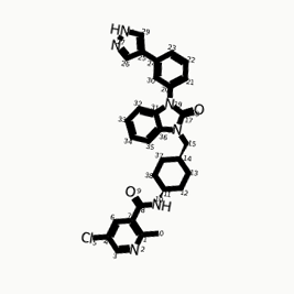 Cc1ncc(Cl)cc1C(=O)N[C@H]1CC[C@H](Cn2c(=O)n(-c3cccc(-c4cn[nH]c4)c3)c3ccccc32)CC1